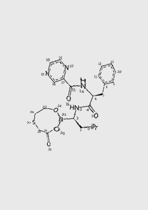 CC(C)C[C@H](NC(=O)[C@H](Cc1ccccc1)NC(=O)c1cnccn1)B1OCCSCC(=O)O1